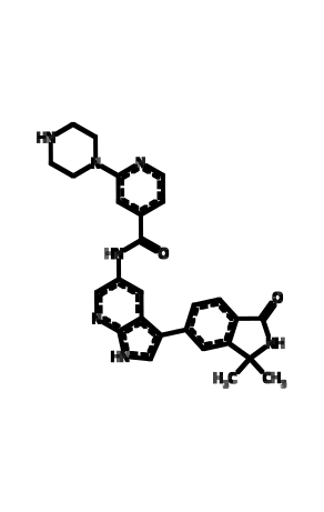 CC1(C)NC(=O)c2ccc(-c3c[nH]c4ncc(NC(=O)c5ccnc(N6CCNCC6)c5)cc34)cc21